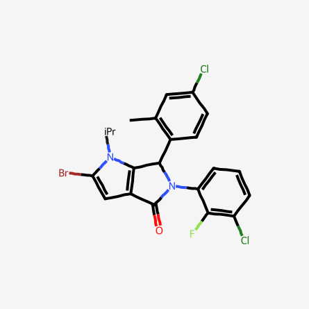 Cc1cc(Cl)ccc1C1c2c(cc(Br)n2C(C)C)C(=O)N1c1cccc(Cl)c1F